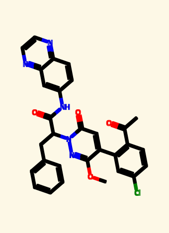 COc1nn(C(Cc2ccccc2)C(=O)Nc2ccc3nccnc3c2)c(=O)cc1-c1cc(Cl)ccc1C(C)=O